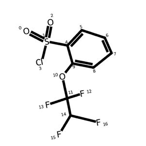 O=S(=O)(Cl)c1ccccc1OC(F)(F)C(F)F